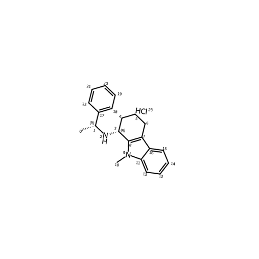 C[C@@H](N[C@@H]1CCCc2c1n(C)c1ccccc21)c1ccccc1.Cl